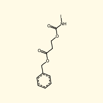 O=C(CCOC(=O)NI)OCc1ccccc1